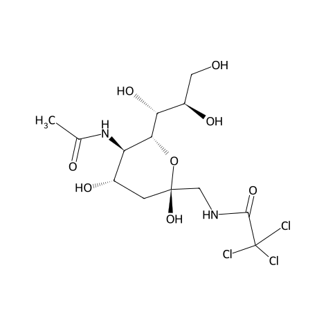 CC(=O)N[C@H]1[C@H]([C@H](O)[C@H](O)CO)O[C@](O)(CNC(=O)C(Cl)(Cl)Cl)C[C@@H]1O